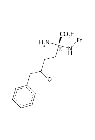 CCN[C@@](N)(CCC(=O)Cc1ccccc1)C(=O)O